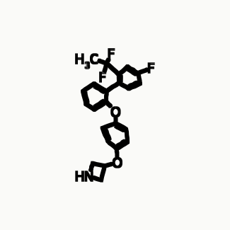 CC(F)(F)c1cc(F)ccc1-c1ccccc1Oc1ccc(OC2CNC2)cc1